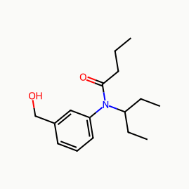 CCCC(=O)N(c1cccc(CO)c1)C(CC)CC